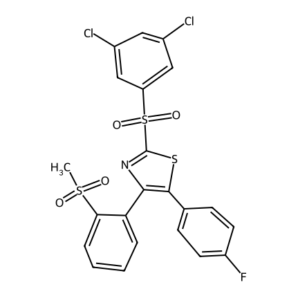 CS(=O)(=O)c1ccccc1-c1nc(S(=O)(=O)c2cc(Cl)cc(Cl)c2)sc1-c1ccc(F)cc1